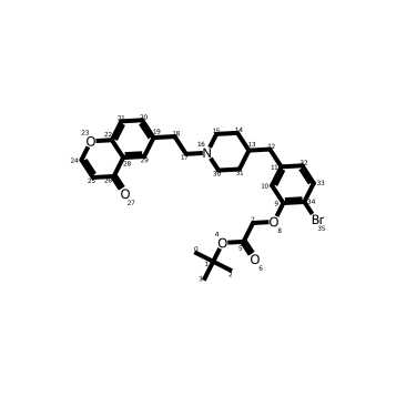 CC(C)(C)OC(=O)COc1cc(CC2CCN(CCc3ccc4occc(=O)c4c3)CC2)ccc1Br